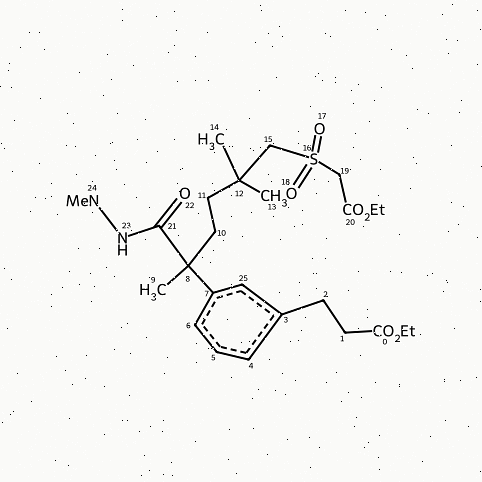 CCOC(=O)CCc1cccc(C(C)(CCC(C)(C)CS(=O)(=O)CC(=O)OCC)C(=O)NNC)c1